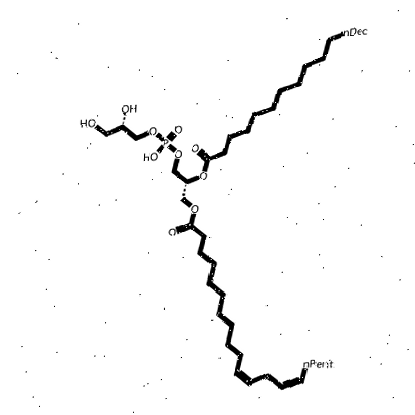 CCCCC/C=C\C/C=C\CCCCCCCCCC(=O)OC[C@H](COP(=O)(O)OC[C@@H](O)CO)OC(=O)CCCCCCCCCCCCCCCCCCCC